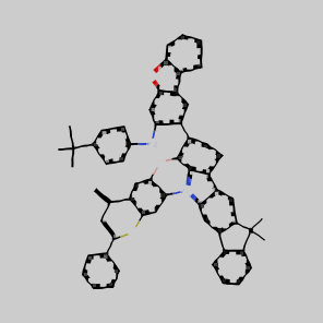 C=C1C=C(c2ccccc2)Sc2cc3c(cc21)Bc1c(-c2cc4c(cc2Nc2ccc(C(C)(C)C)cc2)oc2ccccc24)ccc2c4cc5c(cc4n-3c12)-c1ccccc1C5(C)C